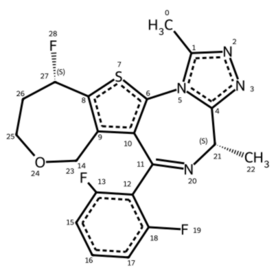 Cc1nnc2n1-c1sc3c(c1C(c1c(F)cccc1F)=N[C@H]2C)COCC[C@@H]3F